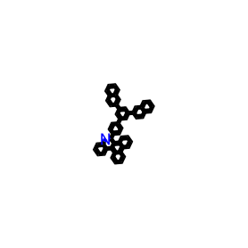 c1ccc2cc(-c3cc(-c4ccc(-c5nc6ccccc6c6c7ccccc7c7ccccc7c56)cc4)cc(-c4ccc5ccccc5c4)c3)ccc2c1